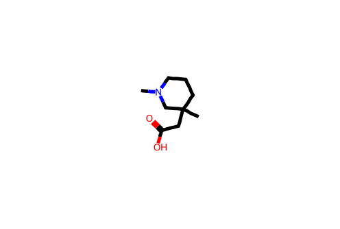 CN1CCCC(C)(CC(=O)O)C1